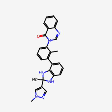 Cc1c(-c2cccc3c2NC(C#N)(c2cnn(C)c2)N3)cccc1-n1cnc2ccccc2c1=O